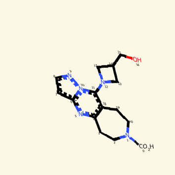 O=C(O)N1CCc2nc3ccnn3c(N3CC(CO)C3)c2CC1